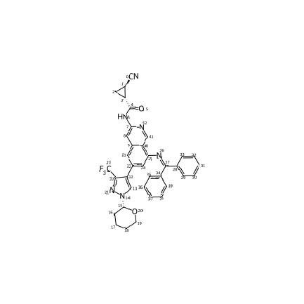 N#C[C@@H]1C[C@H]1C(=O)Nc1cc2cc(-c3cn([C@H]4CCCCO4)nc3C(F)(F)F)cc(N=C(c3ccccc3)c3ccccc3)c2cn1